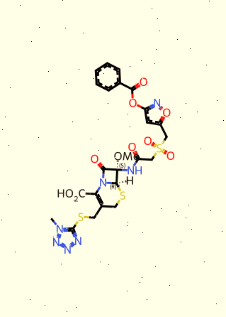 CO[C@@]1(NC(=O)CS(=O)(=O)Cc2cc(OC(=O)c3ccccc3)no2)C(=O)N2C(C(=O)O)=C(CSc3nnnn3C)CS[C@@H]21